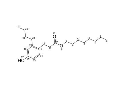 CCCCCCCCOC(=O)CCc1c[c]c(O)cc1CCCC